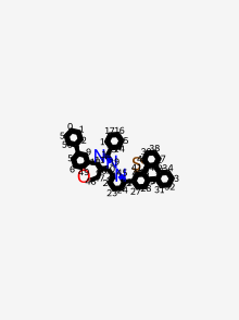 c1ccc(-c2ccc3c(c2)-c2nc(-c4ccccc4)nc(-c4cccc(-c5ccc6c7ccccc7c7cccc8sc5c6c87)n4)c2CCO3)cc1